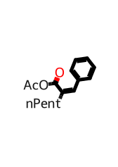 CCCCCC(=Cc1ccccc1)C(=O)OC(C)=O